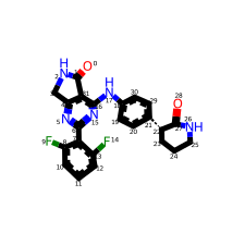 O=C1NCc2nc(-c3c(F)cccc3F)nc(Nc3ccc([C@H]4CCCNC4=O)cc3)c21